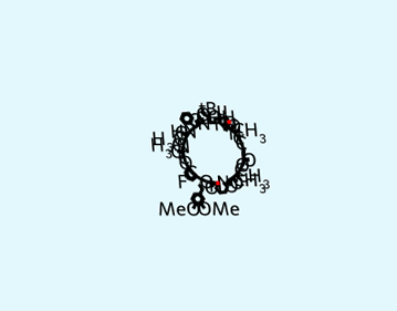 COc1ccc(CC[C@H]2OC(=O)[C@@H]3CCCCN3C(=O)C(=O)C(C)(C)COC(=O)/C=C/CCN(C)C(=O)[C@@H]3CCCN3C(O)[C@H](COC(C)(C)C)N(C)C(=O)[C@H](c3ccccc3)NC(=O)[C@H](C)N(C)C(=O)COc3cc(F)cc2c3)cc1OC